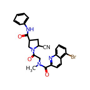 CN(CC(=O)N1CC(C(=O)Nc2ccccc2)CC1C#N)C(=O)c1ccc2c(Br)cccc2n1